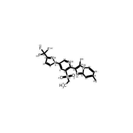 CCS(=O)(=O)c1cc(-n2ccc(C(F)(F)F)n2)cnc1-c1nc2cc(I)ccn2c1I